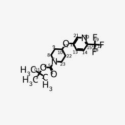 CC(C)(C)OC(=O)N1CCC(Oc2ccc(C(F)(F)F)nc2)CC1